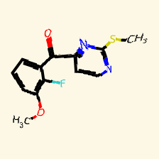 COc1cccc(C(=O)c2ccnc(SC)n2)c1F